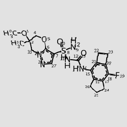 COC1(C)COc2c([SH](N)(=O)NC(=O)Nc3c4c(c(F)c5c3CC5)CCC4)cnn2C1